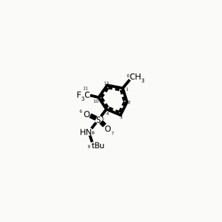 Cc1ccc(S(=O)(=O)NC(C)(C)C)c(C(F)(F)F)c1